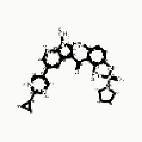 Cc1ccc(NS(=O)(=O)N2CCCC2)c(F)c1C(=O)c1cn(C)c2ncc(-c3cnc(C4CC4)nc3)cc12